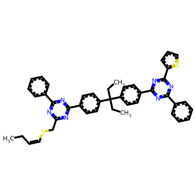 CC/C=C\SCc1nc(-c2ccccc2)nc(-c2ccc(C(CC)(CC)c3ccc(-c4nc(-c5ccccc5)nc(-c5cccs5)n4)cc3)cc2)n1